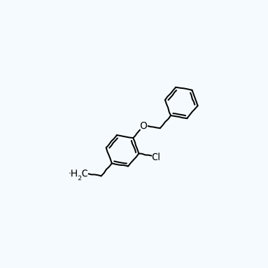 [CH2]Cc1ccc(OCc2ccccc2)c(Cl)c1